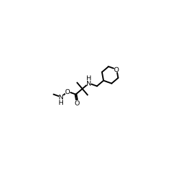 CNOC(=O)C(C)(C)NCC1CCOCC1